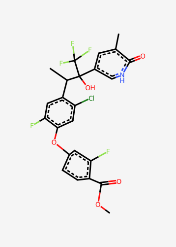 COC(=O)c1ccc(Oc2cc(Cl)c(C(C)C(O)(c3c[nH]c(=O)c(C)c3)C(F)(F)F)cc2F)cc1F